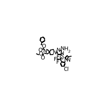 CCOC(=O)[C@@H]1CC2(CCN(c3cc(OC(c4ccc(Cl)cc4-n4ccc(C)n4)C(F)(F)F)nc(N)n3)CC2)CN1C(=O)OCc1ccccc1